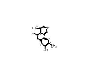 CC(C)c1nc(CC(C)c2ccncc2N)ccc1N